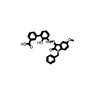 COc1ccc2c(c1)/C(=N/Nc1cccc(-c3cccc(C(=O)O)c3)c1O)C(=O)N2Cc1ccccc1